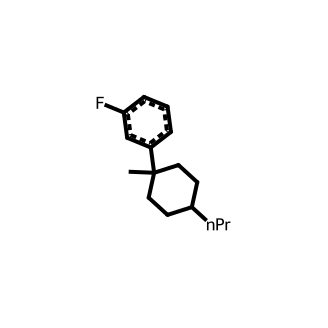 CCCC1CCC(C)(c2cccc(F)c2)CC1